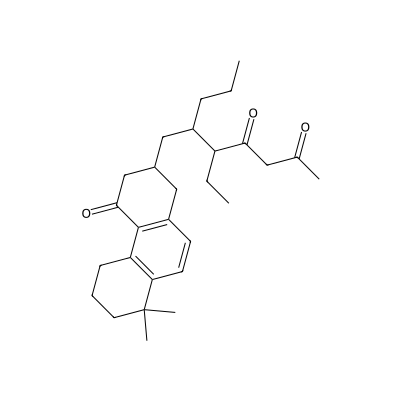 CCCC(CC1CC(=O)c2c(ccc3c2CCCC3(C)C)C1)C(CC)C(=O)CC(C)=O